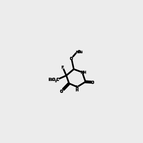 CCCCOC1NC(=O)NC(=O)C1(F)C(=O)OCC